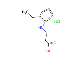 CCc1ccccc1NCCC(=O)O.Cl